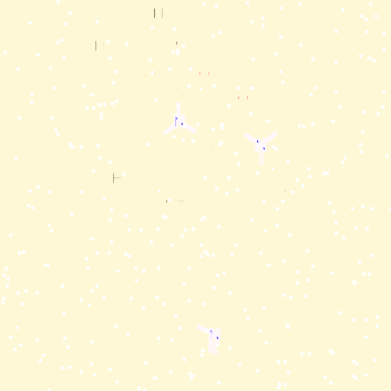 CC1(C)C[C@@H](C2OCCN2C(=O)OCCSSc2ccccn2)N(C(=O)OC(C)(C)C)C1